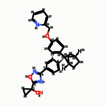 OC1(c2nc(-c3ccc([C@]4(c5ccc(OCc6ccccn6)cc5)C[C@@H]5CC[C@H]4C5)cc3)no2)CC1